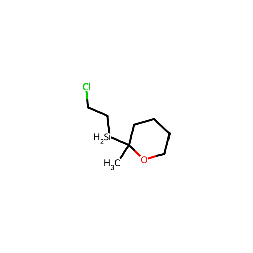 CC1([SiH2]CCCl)CCCCO1